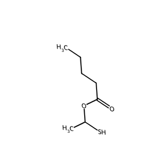 CCCCC(=O)OC(C)S